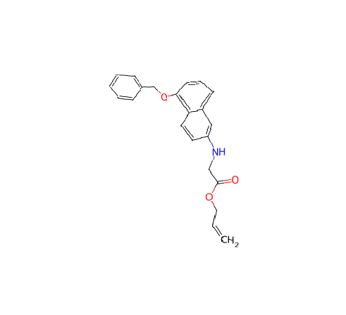 C=CCOC(=O)CNc1ccc2c(OCc3ccccc3)cccc2c1